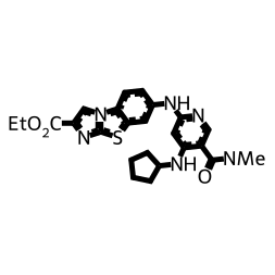 CCOC(=O)c1cn2c(n1)sc1cc(Nc3cc(NC4CCCC4)c(C(=O)NC)cn3)ccc12